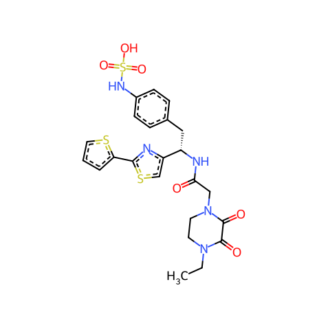 CCN1CCN(CC(=O)N[C@@H](Cc2ccc(NS(=O)(=O)O)cc2)c2csc(-c3cccs3)n2)C(=O)C1=O